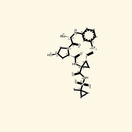 C=C[C@@H]1C[C@]1(NC(=O)[C@@H]1C[C@@H](O)CN1C(=O)[C@@H](Nc1cccc(C(F)(F)F)c1)C(C)(C)C)C(=O)NS(=O)(=O)C1(C)CC1